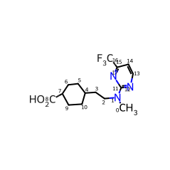 CN(CCC1CCC(C(=O)O)CC1)c1nccc(C(F)(F)F)n1